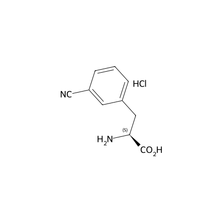 Cl.N#Cc1cccc(C[C@H](N)C(=O)O)c1